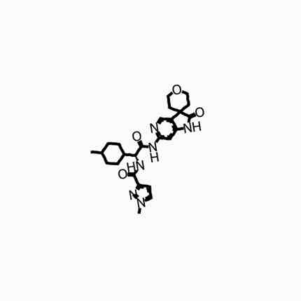 CC1CCC([C@H](NC(=O)c2ccn(C)n2)C(=O)Nc2cc3c(cn2)C2(CCOCC2)C(=O)N3)CC1